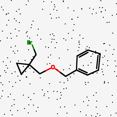 BrCC1(COCc2ccccc2)CC1